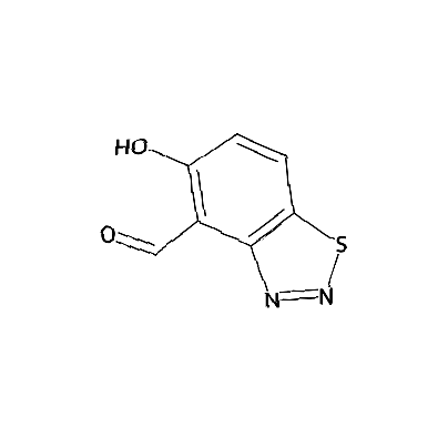 O=Cc1c(O)ccc2snnc12